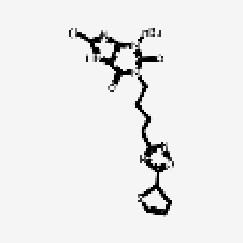 CCCCn1c(=O)n(CCCCc2noc(C3CC=CS3)n2)c(=O)c2[nH]c(Cl)nc21